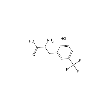 Cl.NC(Cc1cccc(C(F)(F)F)c1)C(=O)O